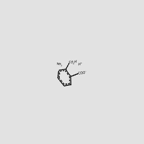 N.O=C([O-])c1ccccc1C(=O)O.[H+]